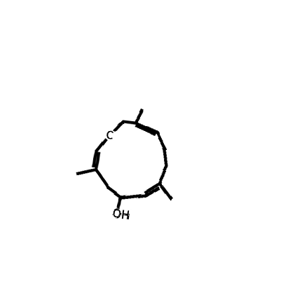 CC1=CCCC(C)=CC(O)CC(C)=CCC1